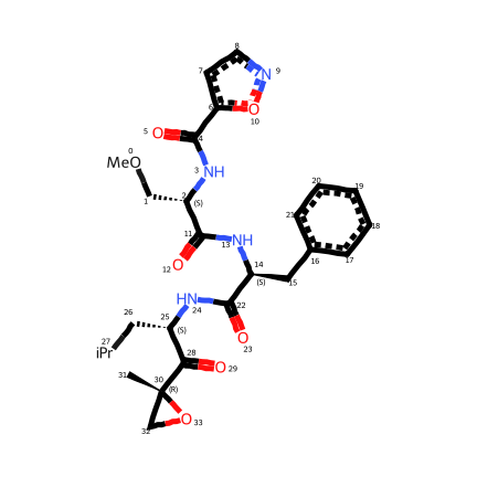 COC[C@H](NC(=O)c1ccno1)C(=O)N[C@@H](Cc1ccccc1)C(=O)N[C@@H](CC(C)C)C(=O)[C@@]1(C)CO1